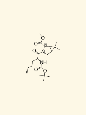 C=CCCC(NC(=O)OC(C)(C)C)C(=O)N1CC2C([C@H]1C(=O)OC)C2(C)C